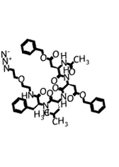 CC(=O)N[C@H](CC(=O)OCc1ccccc1)C(=O)N[C@@H](CC(=O)OCc1ccccc1)C(=O)N[C@H](CC(C)C)C(=O)N[C@@H](Cc1ccccc1)C(=O)NCCOCCN=[N+]=[N-]